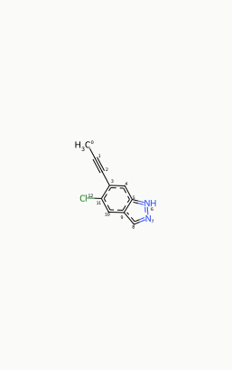 CC#Cc1cc2[nH]ncc2cc1Cl